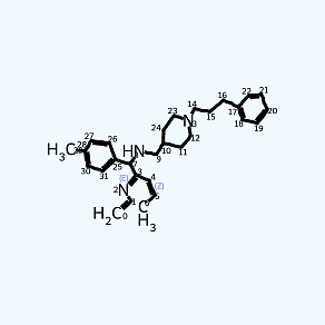 C=C/N=C(\C=C/C)C(NCC1CCN(CCCc2ccccc2)CC1)c1ccc(C)cc1